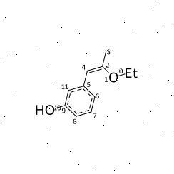 CCOC(C)=Cc1cccc(O)c1